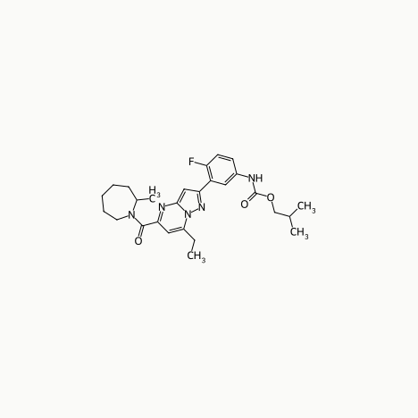 CCc1cc(C(=O)N2CCCCCC2C)nc2cc(-c3cc(NC(=O)OCC(C)C)ccc3F)nn12